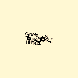 CNC(=O)C1(C)CC(Nc2nc(OC)c3c(-c4ccc5nnn(CC(F)F)c5c4)ccn3n2)C1